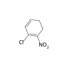 O=[N+]([O-])C1=C(Cl)C=CCC1